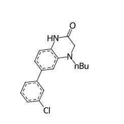 CCCCN1CC(=O)Nc2ccc(-c3cccc(Cl)c3)cc21